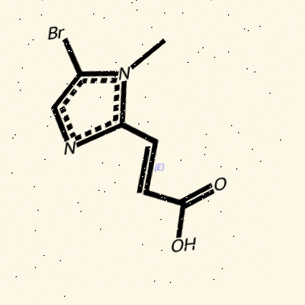 Cn1c(Br)cnc1/C=C/C(=O)O